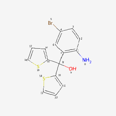 Nc1ccc(Br)cc1C(O)(c1cccs1)c1cccs1